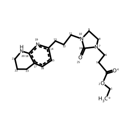 CCOC(=O)CCN1CCN(CCCc2ccc3c(n2)NCCC3)C1=O